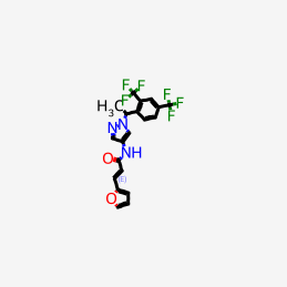 CC(c1ccc(C(F)(F)F)cc1C(F)(F)F)n1cc(NC(=O)/C=C/c2ccco2)cn1